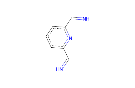 N=Cc1cccc(C=N)n1